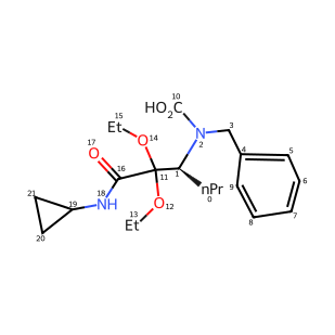 CCC[C@H](N(Cc1ccccc1)C(=O)O)C(OCC)(OCC)C(=O)NC1CC1